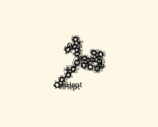 CCCCCCCC1(CCCCCCC)c2ccccc2-c2ccc(-c3ccc4c(c3)C(C)(C)c3cc(-c5ccc(N(c6ccc7c(c6)C(C)(C)c6c8c(c9oc%10ccccc%10c9c6-7)-c6ccccc6C8(C)C)c6ccc7c(c6)C(c6ccccc6)(c6ccccc6)c6cc8c(cc6-7)C(c6ccccc6)(c6ccccc6)c6ccc7oc9ccccc9c7c6-8)cc5)ccc3-4)cc21